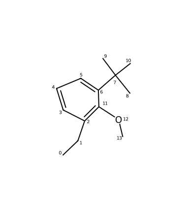 CCc1cccc(C(C)(C)C)c1OC